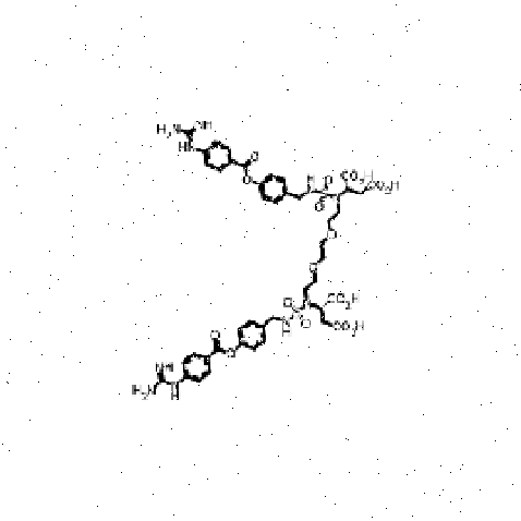 N=C(N)Nc1ccc(C(=O)Oc2ccc(CNS(=O)(=O)N(CCOCCOCCN([C@@H](CC(=O)O)C(=O)O)S(=O)(=O)NCc3ccc(OC(=O)c4ccc(NC(=N)N)cc4)cc3)[C@@H](CC(=O)O)C(=O)O)cc2)cc1